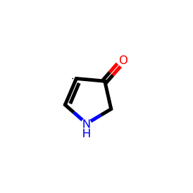 O=C1[C]=CNC1